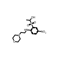 CC(O)S(=O)(=O)c1cc([N+](=O)[O-])ccc1NCCN1CCOCC1